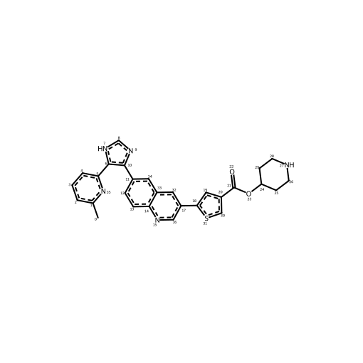 Cc1cccc(-c2[nH]cnc2-c2ccc3ncc(-c4cc(C(=O)OC5CCNCC5)cs4)cc3c2)n1